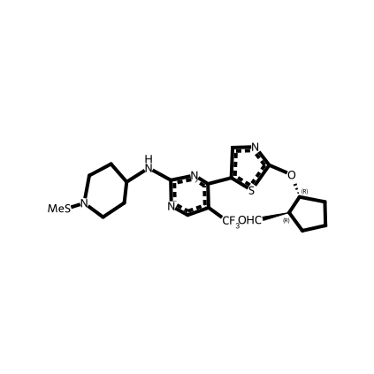 CSN1CCC(Nc2ncc(C(F)(F)F)c(-c3cnc(O[C@@H]4CCC[C@H]4C=O)s3)n2)CC1